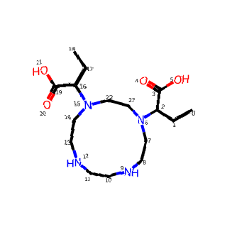 CCC(C(=O)O)N1CCNCCNCCN(C(CC)C(=O)O)CC1